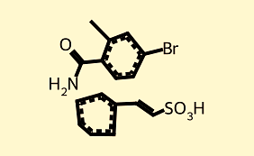 Cc1cc(Br)ccc1C(N)=O.O=S(=O)(O)C=Cc1ccccc1